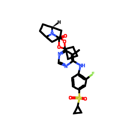 Cc1c(Nc2ccc(S(=O)(=O)C3CC3)cc2F)ncnc1OC1CC2CC[C@@H](C1)N2C(=O)OC1CCC1